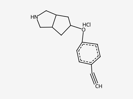 C#Cc1ccc(OC2CC3CNCC3C2)cc1.Cl